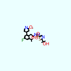 COc1cc(-c2cc(F)cc(C(C)C)c2CC(=O)NS(=O)(=O)c2cnc(C(C)(C)O)s2)ccn1